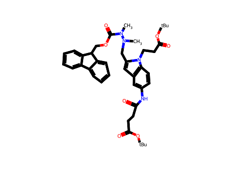 CN(Cc1cc2cc(NC(=O)CCC(=O)OC(C)(C)C)ccc2n1CCC(=O)OC(C)(C)C)N(C)C(=O)OCC1c2ccccc2-c2ccccc21